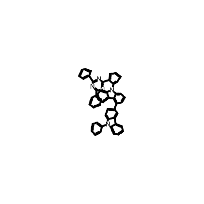 c1ccc(-c2nc(-c3ccccc3)nc(-c3ccccc3-n3c4ccccc4c4c(-c5ccc6c(c5)c5ccccc5n6-c5ccccc5)cccc43)n2)cc1